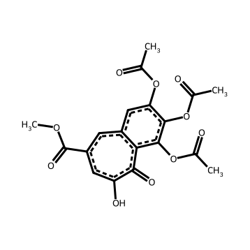 COC(=O)c1cc(O)c(=O)c2c(OC(C)=O)c(OC(C)=O)c(OC(C)=O)cc2c1